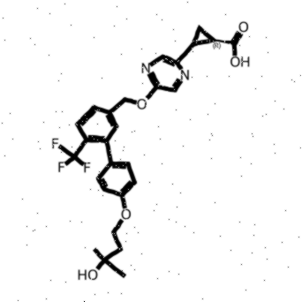 CC(C)(O)CCOc1ccc(-c2cc(COc3cnc(C4C[C@H]4C(=O)O)cn3)ccc2C(F)(F)F)cc1